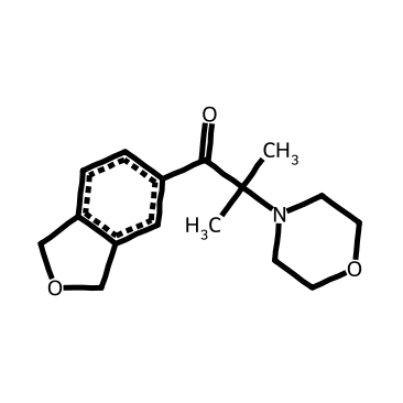 CC(C)(C(=O)c1ccc2c(c1)COC2)N1CCOCC1